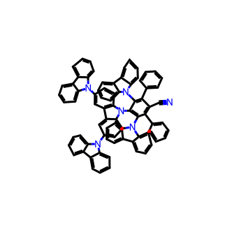 N#Cc1c(-c2ccccc2)c(-n2c3ccccc3c3ccccc32)c(-n2c3ccc(-n4c5ccccc5c5ccccc54)cc3c3cc(-n4c5ccccc5c5ccccc54)ccc32)c(-n2c3ccccc3c3ccccc32)c1-c1ccccc1